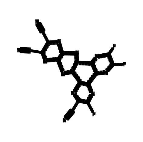 N#Cc1nc2c(nc1F)c1nc(F)c(F)nc1c1nc3nc(C#N)c(C#N)nc3nc21